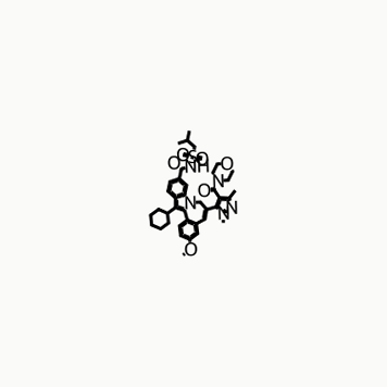 COc1ccc2c(c1)C=C(c1c(C(=O)N3CCOCC3)c(C)nn1C)Cn1c-2c(C2CCCCC2)c2ccc(C(=O)NS(=O)(=O)CC(C)C)cc21